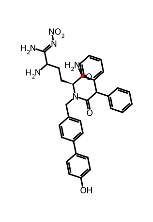 NC(=O)[C@H](CCC(N)C(N)=N[N+](=O)[O-])N(Cc1ccc(-c2ccc(O)cc2)cc1)C(=O)C(c1ccccc1)c1ccccc1